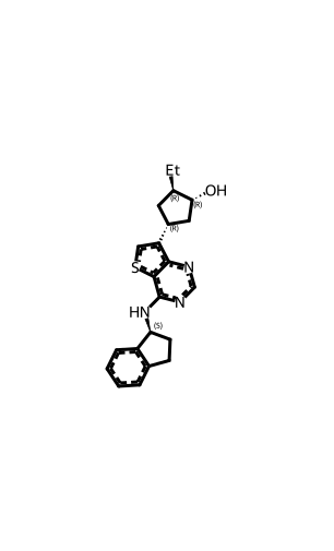 CC[C@@H]1C[C@@H](c2csc3c(N[C@H]4CCc5ccccc54)ncnc23)C[C@H]1O